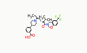 CC[C@@H](CC[C@@H](C(=O)N1COc2ccc(C(F)(F)F)cc2C1)C(C)C)N1CCC(c2cccc(C(=O)O)c2)CC1